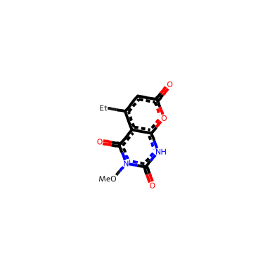 CCc1cc(=O)oc2[nH]c(=O)n(OC)c(=O)c12